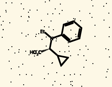 CCN(c1ccccc1)[C@@H](C(=O)O)C1CC1